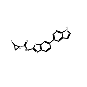 O=C(Nc1nc2ccc(-c3cnc4[nH]ccc4c3)cc2s1)[C@@H]1CC1F